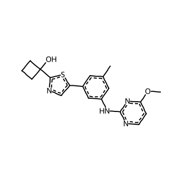 COc1ccnc(Nc2cc(C)cc(-c3cnc(C4(O)CCC4)s3)c2)n1